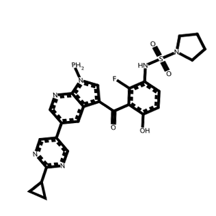 O=C(c1c(O)ccc(NS(=O)(=O)N2CCCC2)c1F)c1cn(P)c2ncc(-c3cnc(C4CC4)nc3)cc12